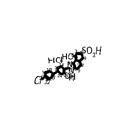 Cl.O=S(=O)(O)c1cc(O)c2c(ccc3[nH]c(-c4ccc(-c5ccc(Cl)cc5)cc4O)nc32)c1